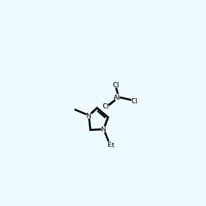 CCN1C=CN(C)C1.[Cl][Al]([Cl])[Cl]